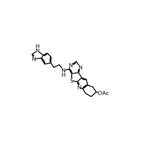 CC(=O)OC1CCc2nc3sc4c(NCCc5ccc6[nH]cnc6c5)ncnc4c3cc2C1